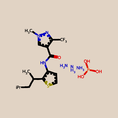 CC(C)CC(C)c1sccc1NC(=O)c1cn(C)nc1C(F)(F)F.N.N.N.OP(O)O